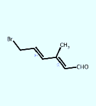 CC(/C=C/CBr)=C\C=O